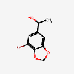 CC(O)c1cc(Br)c2c(c1)OCO2